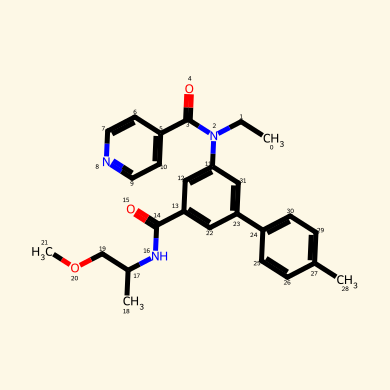 CCN(C(=O)c1ccncc1)c1cc(C(=O)NC(C)COC)cc(-c2ccc(C)cc2)c1